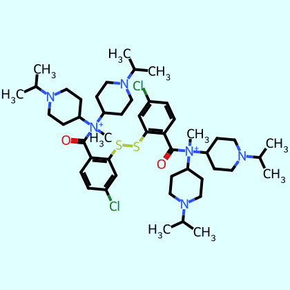 CC(C)N1CCC([N+](C)(C(=O)c2ccc(Cl)cc2SSc2cc(Cl)ccc2C(=O)[N+](C)(C2CCN(C(C)C)CC2)C2CCN(C(C)C)CC2)C2CCN(C(C)C)CC2)CC1